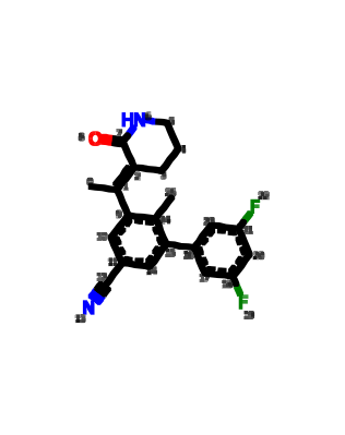 C/C(=C1/CCCNC1=O)c1cc(C#N)cc(-c2cc(F)cc(F)c2)c1C